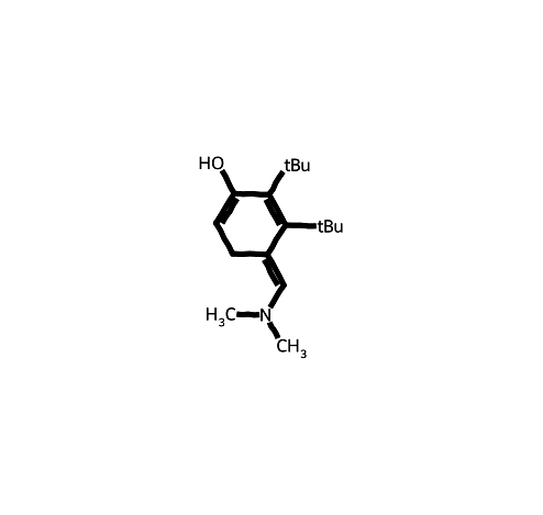 CN(C)C=C1CC=C(O)C(C(C)(C)C)=C1C(C)(C)C